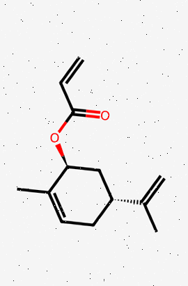 C=CC(=O)O[C@H]1C[C@H](C(=C)C)CC=C1C